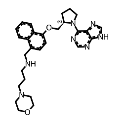 c1ccc2c(OC[C@H]3CCCN3c3ncnc4[nH]cnc34)ccc(CNCCCN3CCOCC3)c2c1